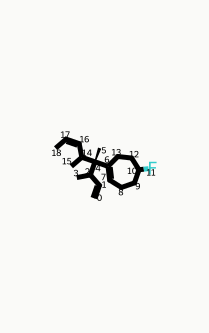 C=CC(C)[C@@](C)(C1=CCCC(F)CC1)C(C)/C=C\C